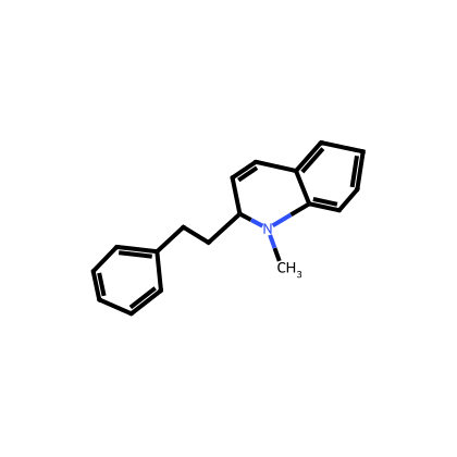 CN1c2ccccc2C=CC1CCc1ccccc1